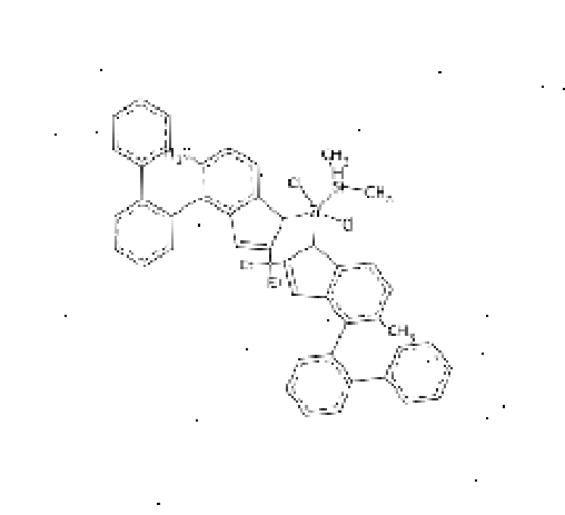 CCC1=Cc2c(ccc(C)c2-c2ccccc2-c2ccccc2)[CH]1[Zr]([Cl])([Cl])([CH]1C(CC)=Cc2c1ccc(C)c2-c1ccccc1-c1ccccc1)[SiH](C)C